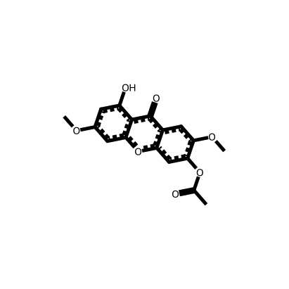 COc1cc(O)c2c(=O)c3cc(OC)c(OC(C)=O)cc3oc2c1